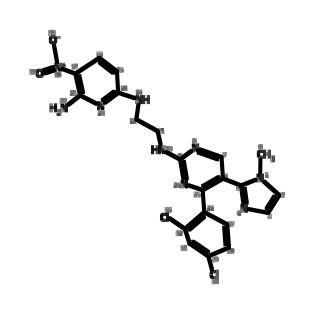 Cn1ccnc1-c1cnc(NCCNc2ccc([N+](=O)[O-])c(N)n2)nc1-c1ccc(Cl)cc1Cl